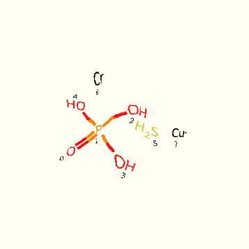 O=P(O)(O)O.S.[Cr].[Cu]